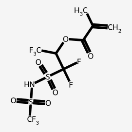 C=C(C)C(=O)OC(C(F)(F)F)C(F)(F)S(=O)(=O)NS(=O)(=O)C(F)(F)F